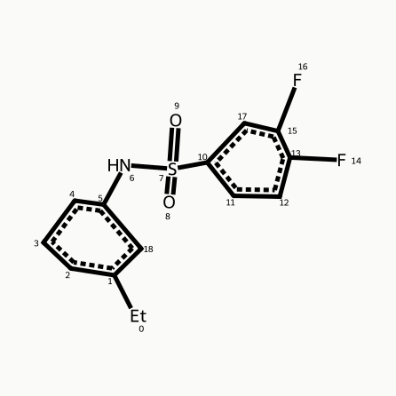 CCc1cccc(NS(=O)(=O)c2ccc(F)c(F)c2)c1